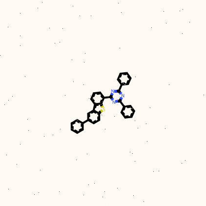 c1ccc(-c2ccc3sc4c(-c5nc(-c6ccccc6)nc(-c6ccccc6)n5)cccc4c3c2)cc1